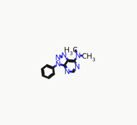 CN(C)c1ncnc2c1nnn2-c1ccccc1